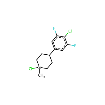 C[Si]1(Cl)CCC(c2cc(F)c(Cl)c(F)c2)CC1